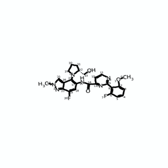 COc1cccc(F)c1-c1nccc(C(=O)Nc2cc(F)c3nn(C)cc3c2N2CCC[C@@H]2CO)n1